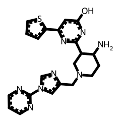 NC1CCN(Cc2cn(-c3ncccn3)cn2)CC1c1nc(O)cc(-c2cccs2)n1